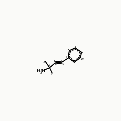 CC(C)(N)C#Cc1ccccc1